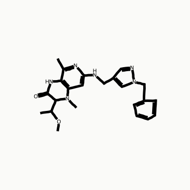 COC(C)C1C(=O)Nc2c(cc(NCc3cnn(Cc4ccccc4)c3)nc2C)N1C